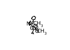 COC(=O)C(OC(=O)c1cncn1C(C)c1ccccc1)C1CC1